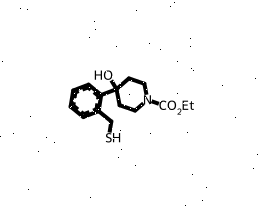 CCOC(=O)N1CCC(O)(c2ccccc2CS)CC1